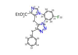 CCOC(=O)c1ncn2c1Cc1c(Cc3ccccc3)nnn1-c1cc(F)ccc1-2